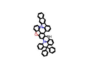 B1c2cccc3c2N(c2ccccc2C3(c2ccccc2)c2ccccc2)c2cc3oc4ccccc4c3c(-c3cccc4c3[nH]c3cc5ccccc5cc34)c21